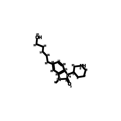 Cn1c(=O)n(C2CCCNC2)c2ccc(CCCCCO)cc21